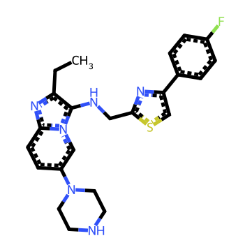 CCc1nc2ccc(N3CCNCC3)cn2c1NCc1nc(-c2ccc(F)cc2)cs1